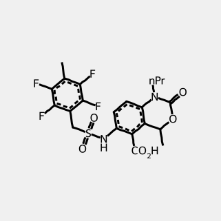 CCCN1C(=O)OC(C)c2c1ccc(NS(=O)(=O)Cc1c(F)c(F)c(C)c(F)c1F)c2C(=O)O